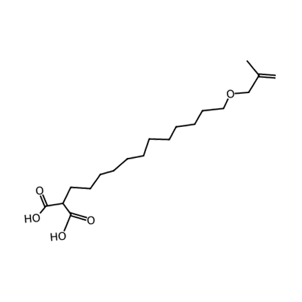 C=C(C)COCCCCCCCCCCCCC(C(=O)O)C(=O)O